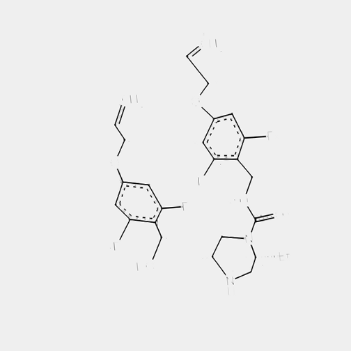 C=CCOc1cc(F)c(CO)c(F)c1.C=CCOc1cc(F)c(COC(=O)N2CCNC[C@H]2CC)c(F)c1